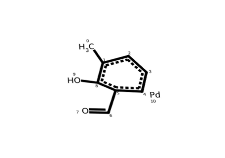 Cc1cccc(C=O)c1O.[Pd]